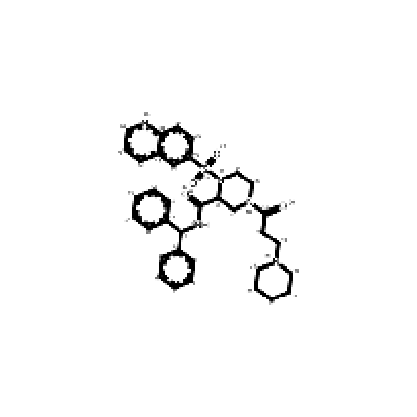 O=C(NC(c1ccccc1)c1ccccc1)C1CN(C(=O)CCN2CCCCC2)CCN1S(=O)(=O)c1ccc2ncccc2c1